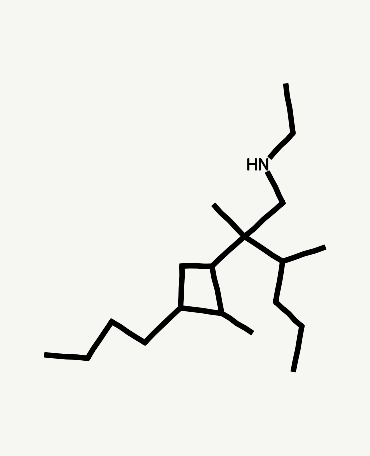 CCCCC1CC(C(C)(CNCC)C(C)CCC)C1C